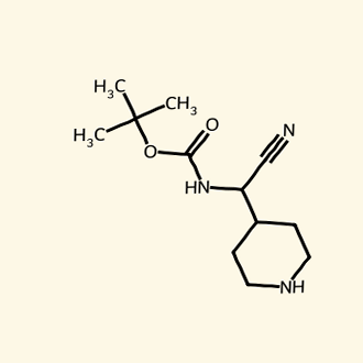 CC(C)(C)OC(=O)NC(C#N)C1CCNCC1